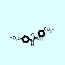 O=C(Nc1ccc(C(=O)O)cc1)Nc1ccc(C(=O)O)cc1